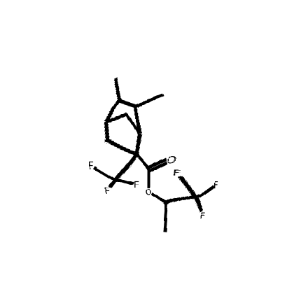 CC1C2CC(C1C)C(C(=O)OC(C)C(F)(F)F)(C(F)(F)F)C2